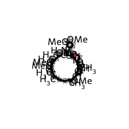 CO[C@H]1C[C@@H]2CC[C@@H](C)[C@@](O)(O2)C(=O)C(=O)N2CCCC[C@H]2C(=O)O[C@H]([C@H](N)C[C@@H]2CC[C@@H](OC)[C@H](OC)C2)C[C@@H](OC)[C@H](C)/C=C(\C)[C@@H](OC)[C@@H](OC)C(=O)[C@H](C)C[C@H](C)/C=C/C=C/C=C/1C